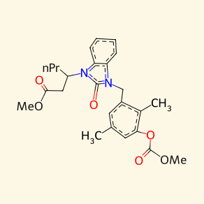 CCCC(CC(=O)OC)n1c(=O)n(Cc2cc(C)cc(OC(=O)OC)c2C)c2ccccc21